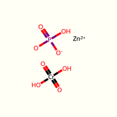 O=P([O-])([O-])O.[O]=[Cr](=[O])([OH])[OH].[Zn+2]